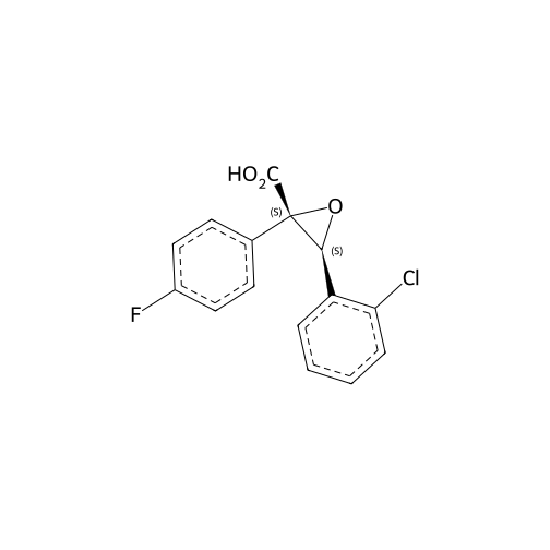 O=C(O)[C@@]1(c2ccc(F)cc2)O[C@H]1c1ccccc1Cl